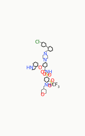 O=C(NS(=O)(=O)c1ccc(NCC2CCOCC2)c(S(=O)(=O)C(F)(F)F)c1)c1ccc(N2CCN(Cc3ccccc3-c3ccc(Cl)cc3)CC2)cc1Oc1cccc2[nH]ccc12